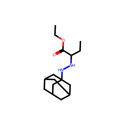 CCOC(=O)C(CC)NNC12CC3CC(CC(C3)C1)C2